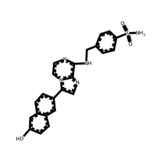 NS(=O)(=O)c1ccc(CNc2nccn3c(-c4ccc5cc(O)ccc5c4)cnc23)cc1